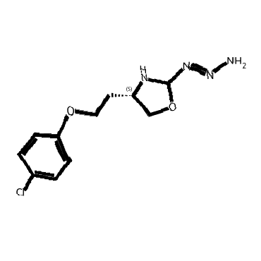 NN=NC1N[C@@H](CCOc2ccc(Cl)cc2)CO1